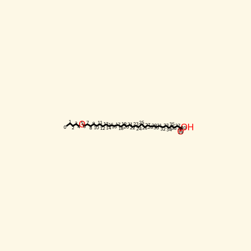 CCCCCOCCCCCCCCCCCCCCCCCCCCCCCCCCCCCCCCC(=O)O